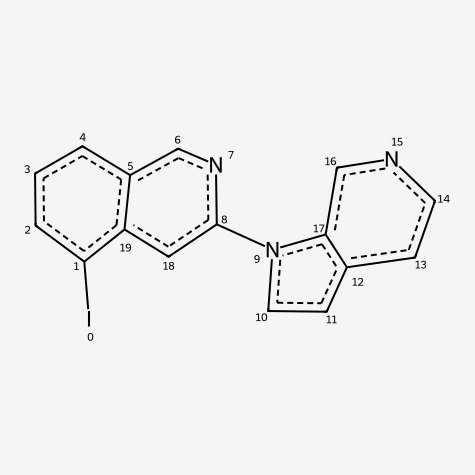 Ic1cccc2cnc(-n3ccc4ccncc43)cc12